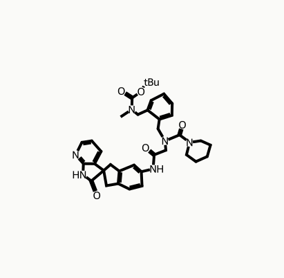 CN(Cc1ccccc1CN(CC(=O)Nc1ccc2c(c1)CC1(C2)C(=O)Nc2ncccc21)C(=O)N1CCCCC1)C(=O)OC(C)(C)C